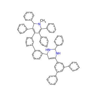 CN1C(c2ccccc2)=C(c2ccccc2)C(c2cccc(-c3cccc(C4C=C(c5cc(-c6ccccc6)cc(-c6ccccc6)c5)NC(c5ccccc5)N4)c3)c2)=C(c2ccccc2)C1c1ccccc1